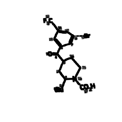 CC(C)(C)C1CC(C(=O)c2cc(Br)cc(C(F)(F)F)c2)CCN1C(=O)O